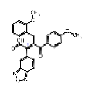 COc1ccc(C(=O)/C(Cc2ccccc2OC)=C(/C(=O)O)c2ccc3nonc3c2)cc1